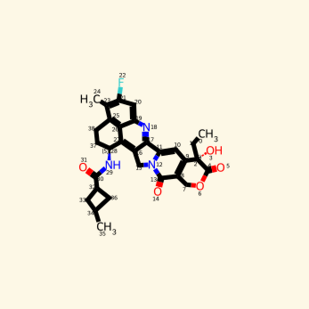 CC[C@@]1(O)C(=O)OCc2c1cc1n(c2=O)Cc2c-1nc1cc(F)c(C)c3c1c2[C@@H](NC(=O)C1CC(C)C1)CC3